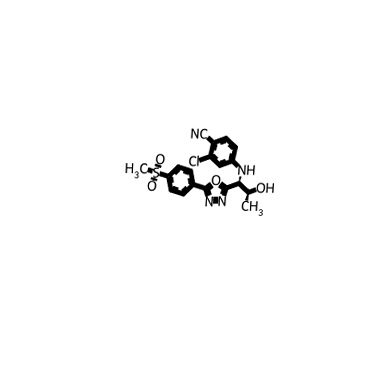 C[C@H](O)[C@@H](Nc1ccc(C#N)c(Cl)c1)c1nnc(-c2ccc(S(C)(=O)=O)cc2)o1